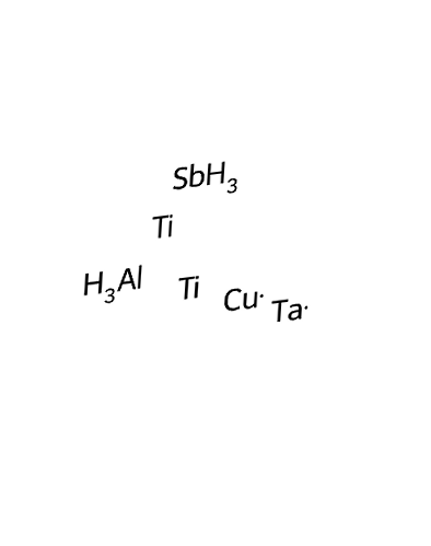 [AlH3].[Cu].[SbH3].[Ta].[Ti].[Ti]